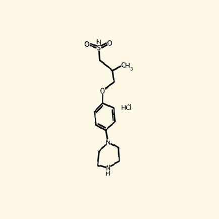 CC(COc1ccc(N2CCNCC2)cc1)C[SH](=O)=O.Cl